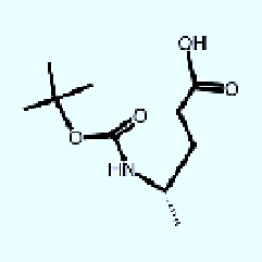 C[C@@H](CCC(=O)O)NC(=O)OC(C)(C)C